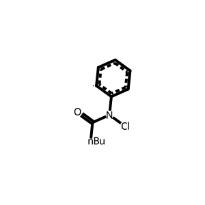 CCCCC(=O)N(Cl)c1[c]cccc1